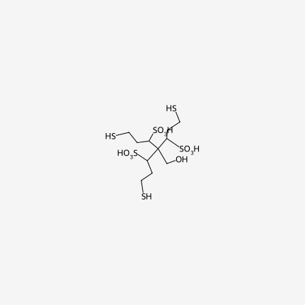 O=S(=O)(O)C(CCS)C(CO)(C(CCS)S(=O)(=O)O)C(CCS)S(=O)(=O)O